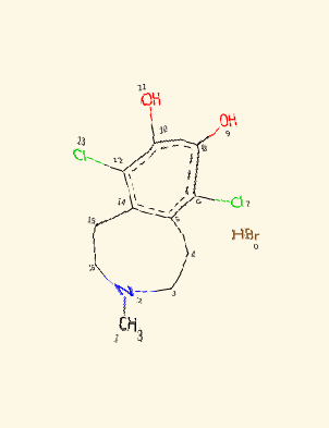 Br.CN1CCc2c(Cl)c(O)c(O)c(Cl)c2CC1